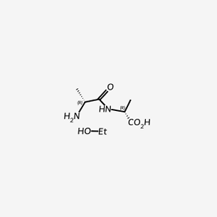 CCO.C[C@@H](N)C(=O)N[C@H](C)C(=O)O